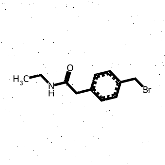 CCNC(=O)Cc1ccc(CBr)cc1